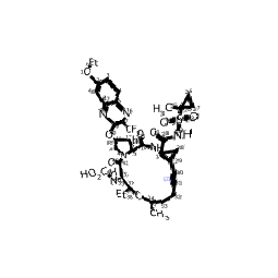 CCOc1ccc2nc(C(F)(F)F)c(O[C@@H]3C[C@H]4C(=O)NC5(C(=O)NS(=O)(=O)C6(C)CC6)CC5/C=C\CC[C@@H](C)C[C@@H](CC)[C@H](NC(=O)O)C(=O)N4C3)nc2c1